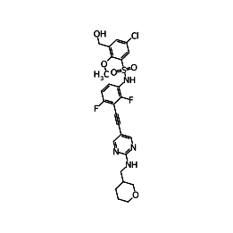 COc1c(CO)cc(Cl)cc1S(=O)(=O)Nc1ccc(F)c(C#Cc2cnc(NCC3CCCOC3)nc2)c1F